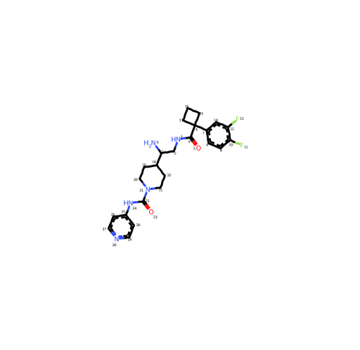 NC(CNC(=O)C1(c2ccc(F)c(F)c2)CCC1)C1CCN(C(=O)Nc2ccncc2)CC1